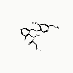 CCC(=O)N(O)c1c(I)cccc1COc1ccc(CC)cc1C